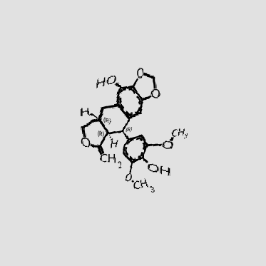 C=C1OC[C@@H]2Cc3c(cc4c(c3O)OCO4)[C@@H](c3cc(OC)c(O)c(OC)c3)[C@@H]12